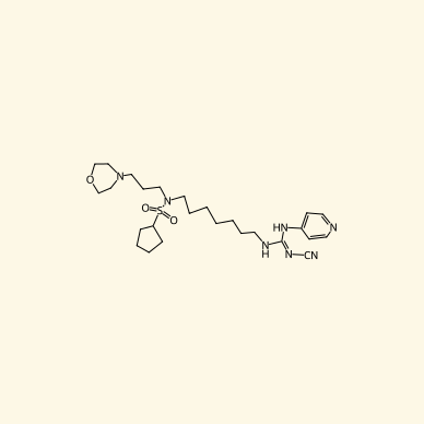 N#CN=C(NCCCCCCCN(CCCN1CCOCC1)S(=O)(=O)C1CCCC1)Nc1ccncc1